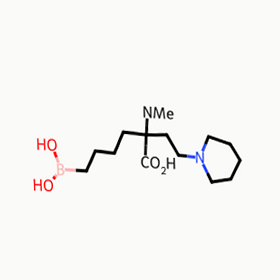 CNC(CCCCB(O)O)(CCN1CCCCC1)C(=O)O